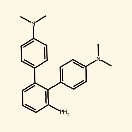 CN(C)c1ccc(-c2cccc(P)c2-c2ccc(N(C)C)cc2)cc1